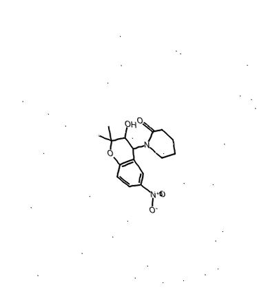 CC1(C)Oc2ccc([N+](=O)[O-])cc2C(N2CCCCC2=O)C1O